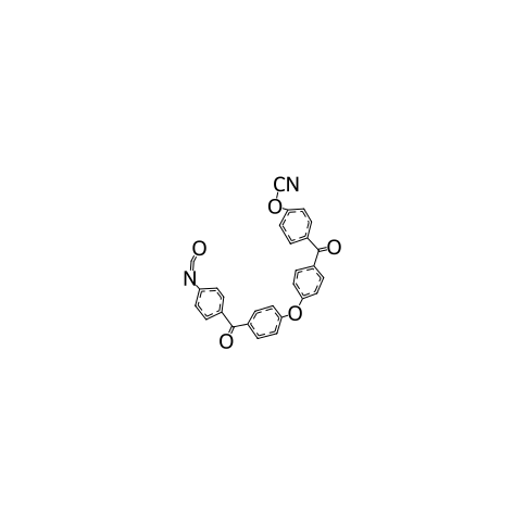 N#COc1ccc(C(=O)c2ccc(Oc3ccc(C(=O)c4ccc(N=C=O)cc4)cc3)cc2)cc1